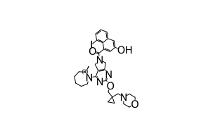 C[C@@H]1CCCCCN1c1nc(OCC2(CN3CCOCC3)CC2)nc2c1CN(C(=O)c1cc(O)cc3cccc(I)c13)C2